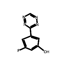 Oc1cc(F)cc(-c2nncnn2)c1